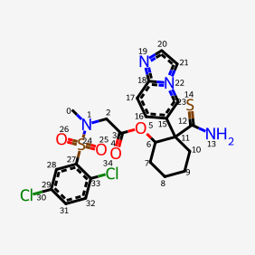 CN(CC(=O)OC1CCCCC1(C(N)=S)c1ccc2nccn2c1)S(=O)(=O)c1cc(Cl)ccc1Cl